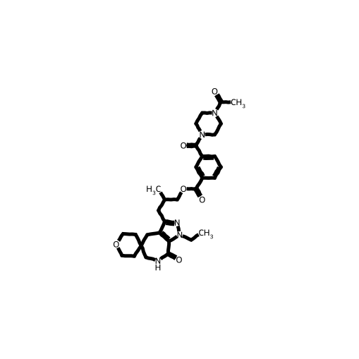 CCn1nc(CC(C)COC(=O)c2cccc(C(=O)N3CCN(C(C)=O)CC3)c2)c2c1C(=O)NCC1(CCOCC1)C2